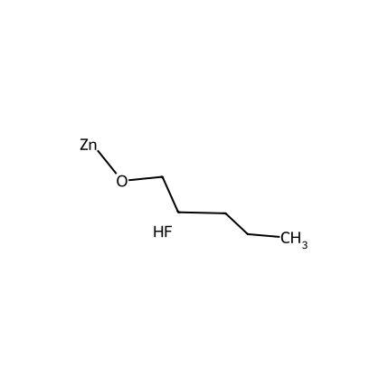 CCCCC[O][Zn].F